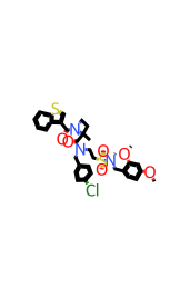 COc1ccc(CN(C)S(=O)(=O)CCN(Cc2ccc(Cl)cc2)C(=O)C2(C)CCN2C(=O)c2csc3ccccc23)c(OC)c1